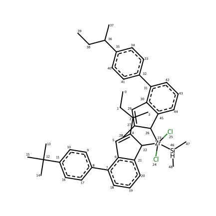 CCC(C)C1=Cc2c(-c3ccc(C(C)(C)C)cc3)cccc2[CH]1[Zr]([Cl])([Cl])([CH]1C(C)=Cc2c(-c3ccc(C(C)CC)cc3)cccc21)[SiH](C)C